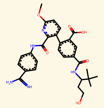 COc1ccc(-c2ccc(C(=O)NC(CCO)C(C)(C)C)cc2C(=O)O)c(C(=O)Nc2ccc(C(=N)N)cc2)n1